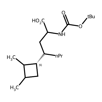 CCCC(CC(NC(=O)OC(C)(C)C)C(=O)O)[C@@H]1CC(C)C1C